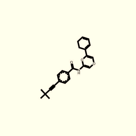 CC(C)(C)C#Cc1ccc(C(=O)NC2=COC=C(C3=CC=CCC3)O2)cc1